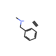 C#C.CNCc1ccccc1